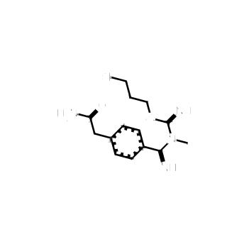 CN(C(=N)SCCCCl)C(=N)c1ccc(CC(N)=O)cc1